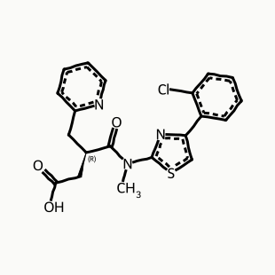 CN(C(=O)[C@@H](CC(=O)O)Cc1ccccn1)c1nc(-c2ccccc2Cl)cs1